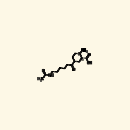 CC(=O)NCCCCCC(=O)C1CCN(C)[C@H](C(=O)O)C1